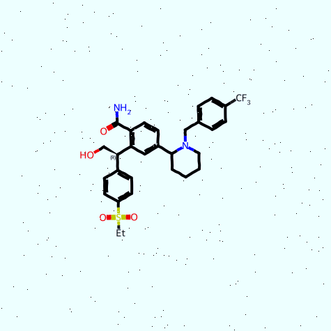 CCS(=O)(=O)c1ccc([C@@H](CO)c2cc(C3CCCCN3Cc3ccc(C(F)(F)F)cc3)ccc2C(N)=O)cc1